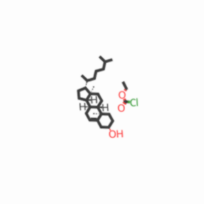 CC(C)CCCC(C)[C@H]1CC[C@H]2[C@@H]3CC=C4C[C@@H](O)CC[C@]4(C)[C@H]3CC[C@]12C.CCOC(=O)Cl